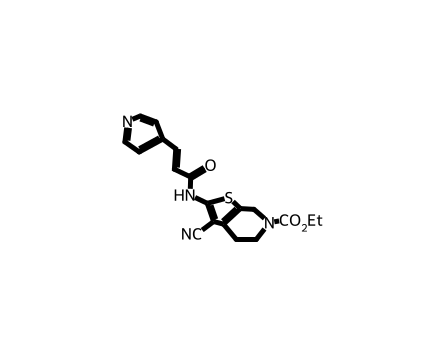 CCOC(=O)N1CCc2c(sc(NC(=O)/C=C/c3ccncc3)c2C#N)C1